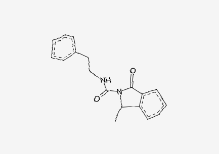 CC1c2ccccc2C(=O)N1C(=O)NCCc1ccccc1